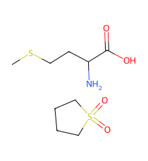 CSCCC(N)C(=O)O.O=S1(=O)CCCC1